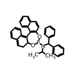 CC(C)N(C(c1ccccc1)c1ccccc1)P1Oc2ccc3ccccc3c2C2=c3ccccc3=CCC2O1